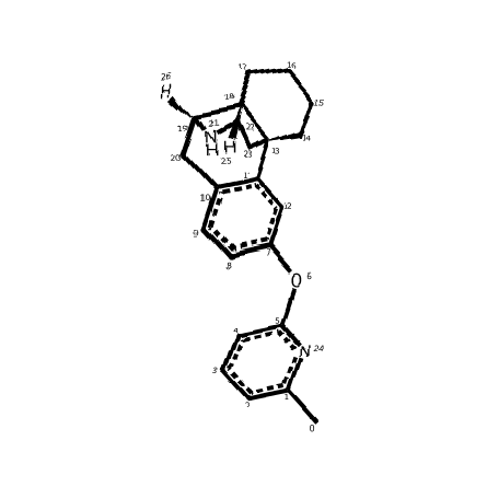 Cc1cccc(Oc2ccc3c(c2)[C@@]24CCCC[C@H]2[C@@H](C3)NCC4)n1